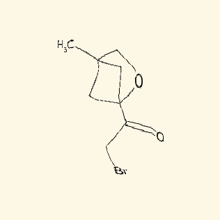 CC12COC(C(=O)CBr)(C1)C2